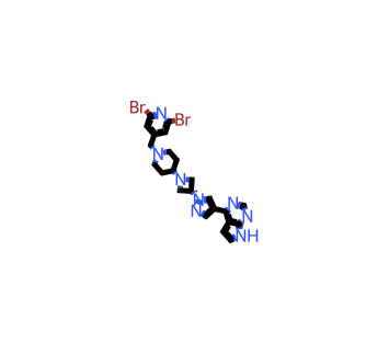 Brc1cc(CN2CCC(N3C[C](n4cc(-c5ncnc6[nH]ccc56)cn4)C3)CC2)cc(Br)n1